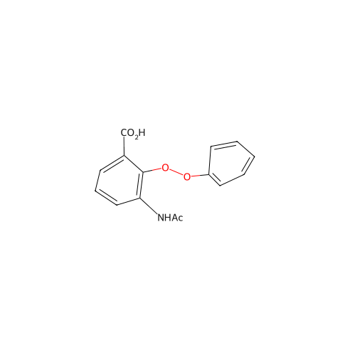 CC(=O)Nc1cccc(C(=O)O)c1OOc1ccccc1